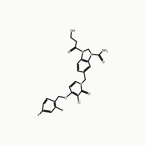 NC(=O)N1CN(C(=O)CCO)c2ccc(Cn3ccc(OCc4ccc(F)cc4F)c(Cl)c3=O)cc21